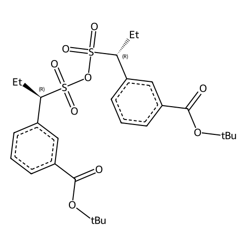 CC[C@H](c1cccc(C(=O)OC(C)(C)C)c1)S(=O)(=O)OS(=O)(=O)[C@H](CC)c1cccc(C(=O)OC(C)(C)C)c1